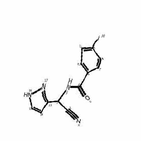 N#CC(NC(=O)c1ccc(I)cc1)c1cc[nH]n1